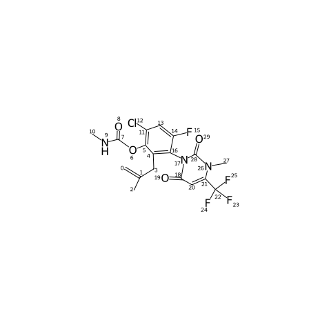 C=C(C)Cc1c(OC(=O)NC)c(Cl)cc(F)c1-n1c(=O)cc(C(F)(F)F)n(C)c1=O